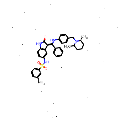 CC1CCCC(C)N1Cc1ccc(N/C(=C2\C(=O)Nc3ccc(NS(=O)(=O)c4cccc([N+](=O)[O-])c4)cc32)c2ccccc2)cc1